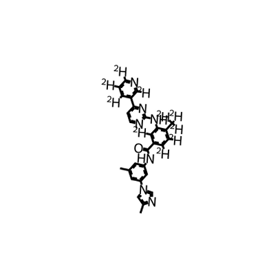 [2H]c1nc([2H])c(-c2ccnc(Nc3c([2H])c(C(=O)Nc4cc(C)cc(-n5cnc(C)c5)c4)c([2H])c([2H])c3C([2H])([2H])[2H])n2)c([2H])c1[2H]